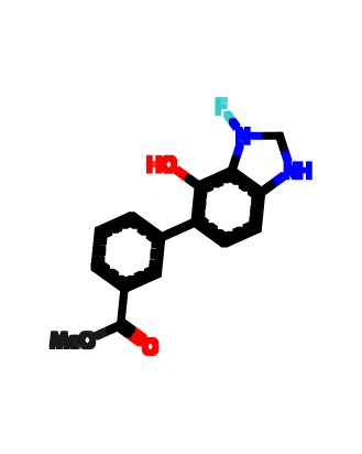 COC(=O)c1cccc(-c2ccc3c(c2O)N(F)CN3)c1